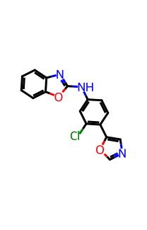 Clc1cc(Nc2nc3ccccc3o2)ccc1-c1cnco1